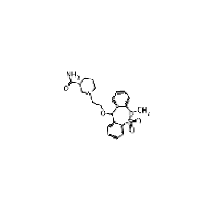 CN1c2ccccc2C(OCCN2CCCC(C(N)=O)C2)c2ccccc2S1(=O)=O